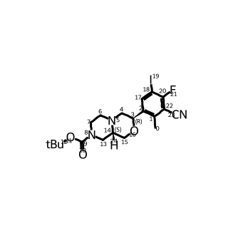 Cc1c([C@@H]2CN3CCN(C(=O)OC(C)(C)C)C[C@H]3CO2)cc(I)c(F)c1C#N